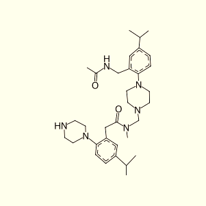 CC(=O)NCc1cc(C(C)C)ccc1N1CCN(CN(C)C(=O)Cc2cc(C(C)C)ccc2N2CCNCC2)CC1